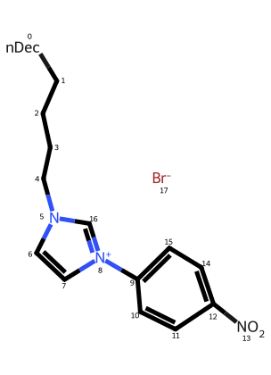 CCCCCCCCCCCCCCn1cc[n+](-c2ccc([N+](=O)[O-])cc2)c1.[Br-]